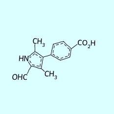 Cc1[nH]c(C=O)c(C)c1-c1ccc(C(=O)O)cc1